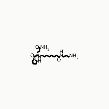 NCCCNC(=O)CCCCCCCN[C@@H](CCC(N)=O)C(=O)N1CCCC1